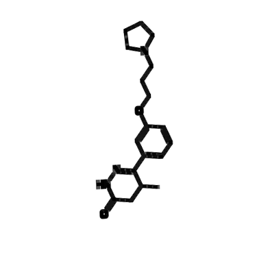 CC1CC(=O)NN=C1c1cccc(OCCCN2CCCC2)c1